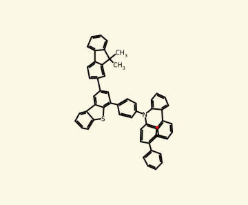 CC1(C)c2ccccc2-c2ccc(-c3cc(-c4ccc(N(c5ccc(-c6ccccc6)cc5)c5ccccc5-c5ccccc5)cc4)c4sc5ccccc5c4c3)cc21